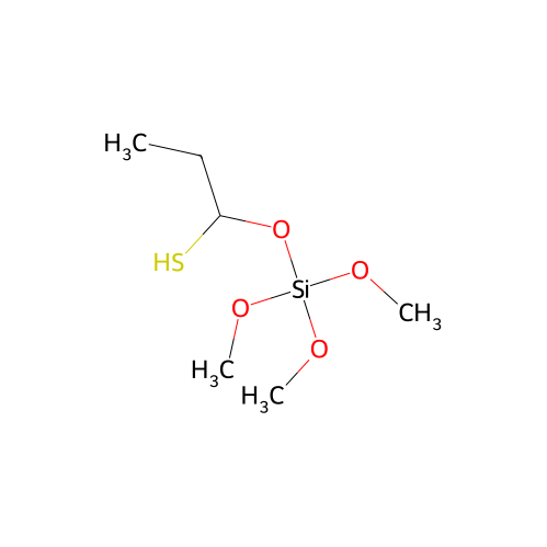 CCC(S)O[Si](OC)(OC)OC